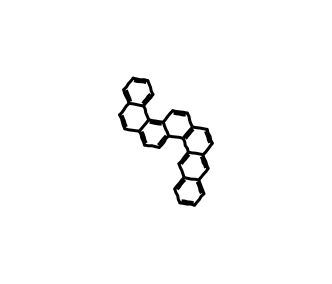 c1ccc2cc3c(ccc4ccc5c(ccc6ccc7ccccc7c65)c43)cc2c1